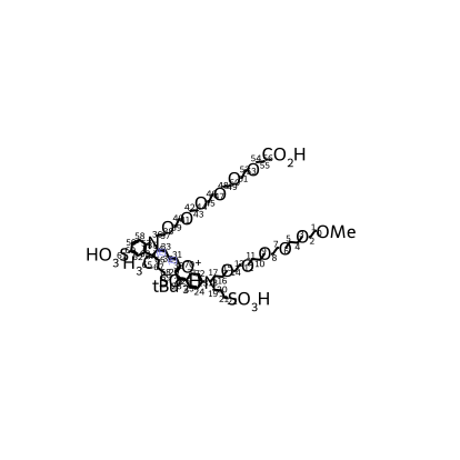 COCCOCCOCCOCCOCCOCCN(CCCS(=O)(=O)O)c1ccc2c(C(C)(C)C)cc(/C=C/C=C3/N(CCOCCOCCOCCOCCOCCOCCC(=O)O)c4ccc(S(=O)(=O)O)cc4C3(C)CCCS(=O)(=O)O)[o+]c2c1